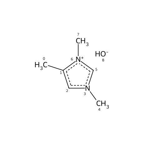 Cc1cn(C)c[n+]1C.[OH-]